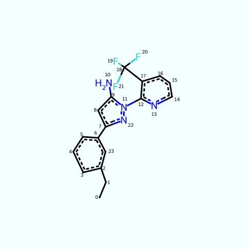 CCc1cccc(-c2cc(N)n(-c3ncccc3C(F)(F)F)n2)c1